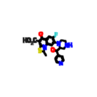 CC1Sc2c(C(=O)O)c(=O)c3cc(F)c(N4CCNCC4C(=O)c4ccncc4)cc3n21